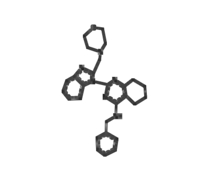 c1ccc(CNc2nc(-n3c(CN4CCOCC4)nc4ccccc43)nc3c2CCCC3)cc1